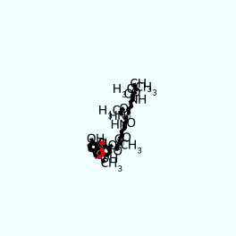 CC(=O)N[C@@H](CCCCNC(=O)OC(C)(C)C)C(=O)NCCC(=O)O[C@@H](C)C(=O)OC1=CC[C@]2(O)C3Cc4ccc(O)c5c4[C@@]2(CCN3C)[C@H]1O5